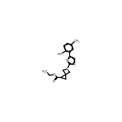 CCOC(=O)C1CC12CN(c1nc(-c3cc(C)ccc3O)cs1)C2